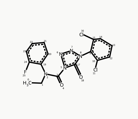 CCN(C(=O)n1nnn(-c2c(Cl)cccc2Cl)c1=O)c1ccccc1F